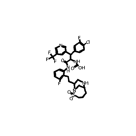 O=C(O)NC(C(=O)Nc1cccc(F)c1CCC1CNC2CCCS(=O)(=O)N1C2)C(c1cncc(C(F)(F)F)c1)c1ccc(Cl)c(F)c1